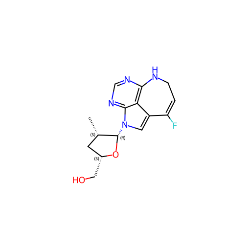 C[C@H]1C[C@@H](CO)O[C@H]1n1cc2c3c(ncnc31)NCC=C2F